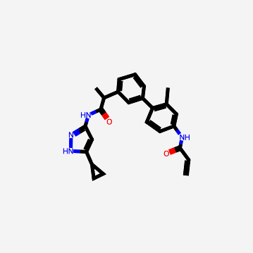 C=CC(=O)Nc1ccc(-c2cccc(C(C)C(=O)Nc3cc(C4CC4)[nH]n3)c2)c(C)c1